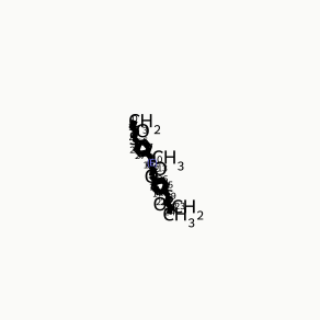 C=CC(=O)Sc1ccc(/C(C)=C/C(=O)Oc2ccc(SC(=O)C(=C)C)cc2)cc1